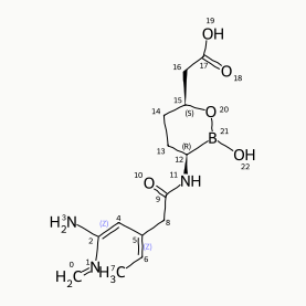 C=N/C(N)=C\C(=C/C)CC(=O)N[C@H]1CC[C@@H](CC(=O)O)OB1O